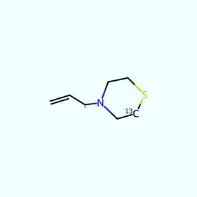 C=C[CH]N1CCS[13CH2]C1